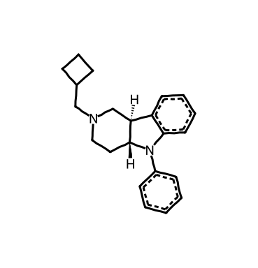 c1ccc(N2c3ccccc3[C@@H]3CN(CC4CCC4)CC[C@H]32)cc1